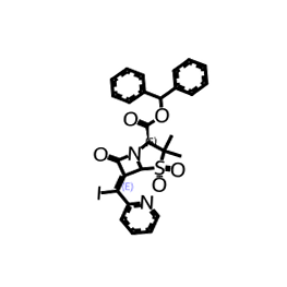 CC1(C)[C@H](C(=O)OC(c2ccccc2)c2ccccc2)N2C(=O)/C(=C(\I)c3ccccn3)C2S1(=O)=O